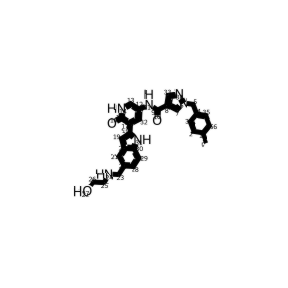 CC1C=CC(Cn2cc(C(=O)Nc3c[nH]c(=O)c(-c4cc5cc(CNCCO)ccc5[nH]4)c3)cn2)=CC1